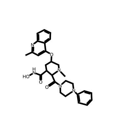 Cc1cc(OC2CC(C(=O)NO)C(C(=O)N3CCN(c4ccccc4)CC3)N(C)C2)c2ccccc2n1